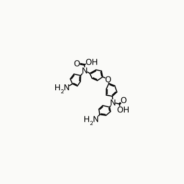 Nc1ccc(N(C(=O)O)c2ccc(Oc3ccc(N(C(=O)O)c4ccc(N)cc4)cc3)cc2)cc1